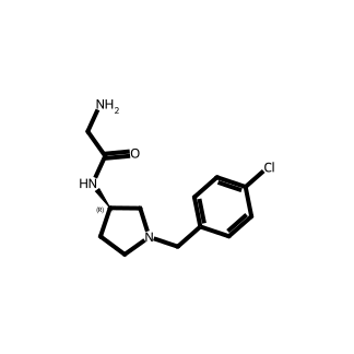 NCC(=O)N[C@@H]1CCN(Cc2ccc(Cl)cc2)C1